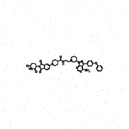 Nc1ncnc2c1c(-c1ccc(Oc3ccccc3)cc1)nn2C1CCCN(CCNC(=O)C2CCN(c3ccc4c(c3)C(=O)N(C3CCC(=O)NC3=O)C4=O)CC2)C1